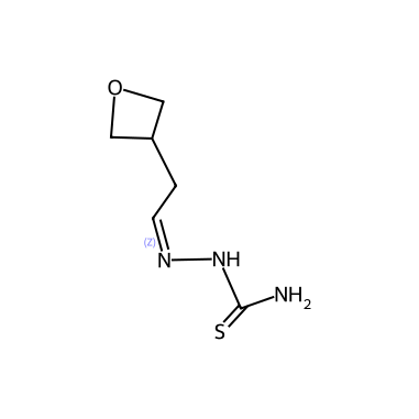 NC(=S)N/N=C\CC1COC1